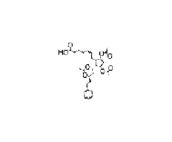 CC(=O)O[C@H](CCc1ccccc1)CC[C@@H]1[C@@H](C/C=C\CCCC(=O)O)[C@@H](OC(C)=O)C[C@H]1OC(C)=O